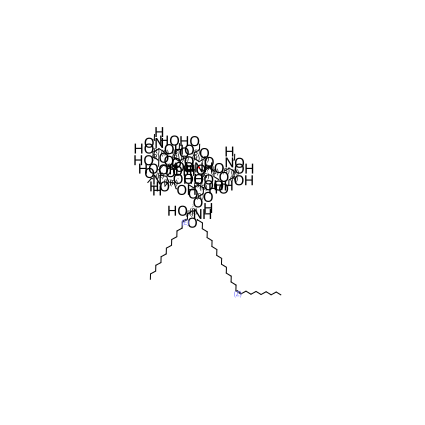 CCCCCCCC/C=C\CCCCCCCCCCCCCCCC(=O)N[C@@H](CO[C@@H]1OC(CO)[C@@H](O[C@@H]2OC(CO)[C@H](O[C@@H]3OC(CO)[C@H](O)[C@H](O)C3NC(C)=O)[C@H](O[C@@H]3OC(CO)[C@@H](O)[C@H](O[C@@H]4OC(CO)[C@H](O[C@@H]5OC(CO)[C@H](O)[C@H](O)C5NC(C)=O)[C@H](O[C@]5(C(=O)O)CC(O)[C@@H](NC(C)=O)C([C@H](O)[C@H](O)CO)O5)C4O)C3NC(C)=O)C2O)[C@H](O)C1O)[C@H](O)/C=C/CCCCCCCCCCCCC